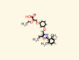 CCOC(CO[C@@H]1CCC[C@H](OCc2nc(-c3c(C)cccc3C)oc2CC)C1)C(=O)O